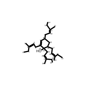 CCC(C)=CCC1=CC(CC=C(C)CC)CC(CC=C(C)CC)C1(O)CC=C(C)CC